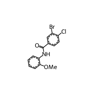 COc1ccccc1NC(=O)c1ccc(Cl)c(Br)c1